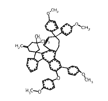 C=C1CC(C)(C)CC2(C1)c1ccccc1-c1c2c2c(c3cc(-c4ccc(OC)cc4)c(Oc4ccc(OC)cc4)cc13)CCC(c1ccc(OC)cc1)(c1ccc(OC)cc1)C=C2